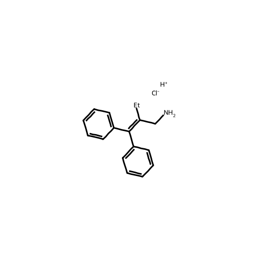 CCC(CN)=C(c1ccccc1)c1ccccc1.[Cl-].[H+]